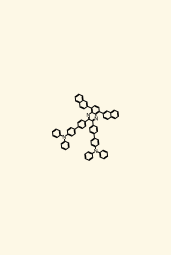 c1ccc(N(c2ccccc2)c2ccc(-c3ccc(-c4nc5c(-c6ccc7ccccc7c6)ccc(-c6ccc7ccccc7c6)c5nc4-c4ccc(-c5ccc(N(c6ccccc6)c6ccccc6)cc5)cc4)cc3)cc2)cc1